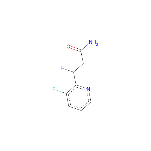 NC(=O)CC(I)c1ncccc1F